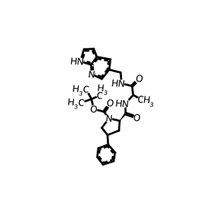 CC(NC(=O)[C@H]1CC(c2ccccc2)CN1C(=O)OC(C)(C)C)C(=O)NCc1cnc2[nH]ccc2c1